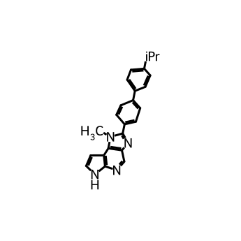 CC(C)c1ccc(-c2ccc(-c3nc4cnc5[nH]ccc5c4n3C)cc2)cc1